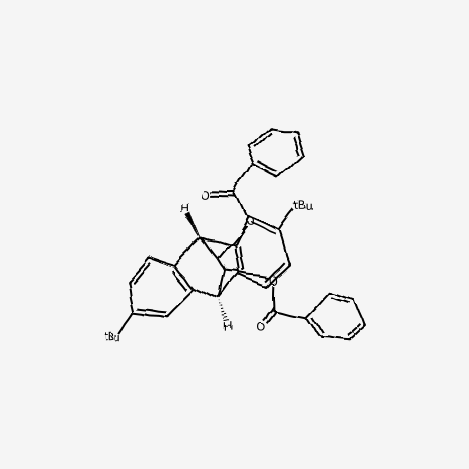 CC(C)(C)c1ccc2c(c1)[C@H]1c3ccc(C(C)(C)C)cc3[C@H]2C(OC(=O)c2ccccc2)C1OC(=O)c1ccccc1